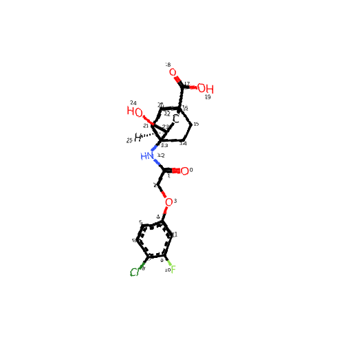 O=C(COc1ccc(Cl)c(F)c1)NC12CCC(C(=O)O)(CC1)C[C@@H]2O